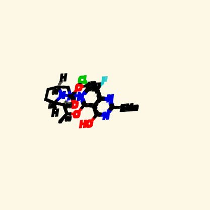 CSc1nc(O)c2c(O[C@@H](C)[C@H]3NC[C@@H]4CC[C@@H]3N4C(=O)OC(C)(C)C)nc(Cl)c(F)c2n1